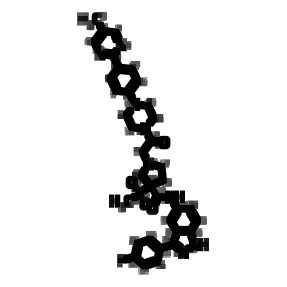 Cc1cnc(-c2ccc(N3CCN(C(=O)CN4CC[C@](C(=O)Nc5ccc6[nH]nc(-c7ccc(F)cc7)c6c5)(S(C)(=O)=O)C4)CC3)cc2)nc1